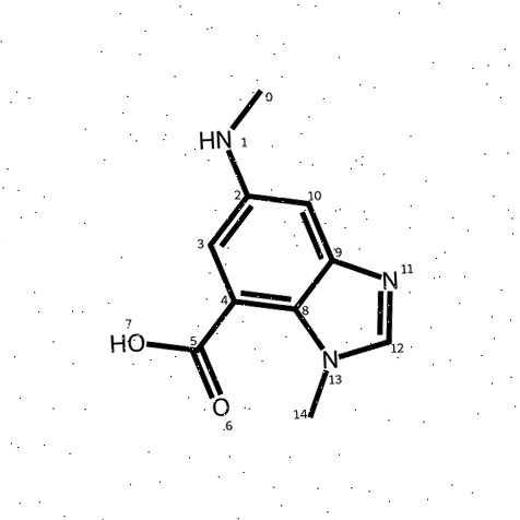 CNc1cc(C(=O)O)c2c(c1)ncn2C